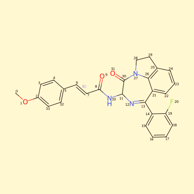 COc1ccc(/C=C/C(=O)NC2N=C(c3ccccc3F)c3cccc4c3N(CC4)C2=O)cc1